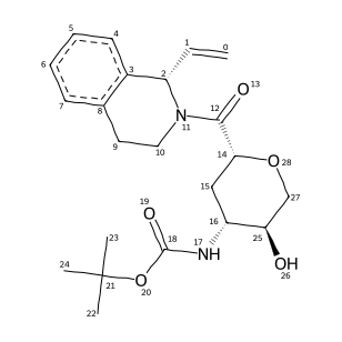 C=C[C@H]1c2ccccc2CCN1C(=O)[C@H]1C[C@@H](NC(=O)OC(C)(C)C)[C@H](O)CO1